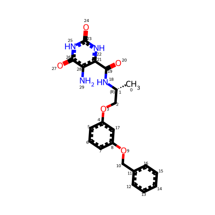 C[C@H](COc1cccc(OCc2ccccc2)c1)NC(=O)c1[nH]c(=O)[nH]c(=O)c1N